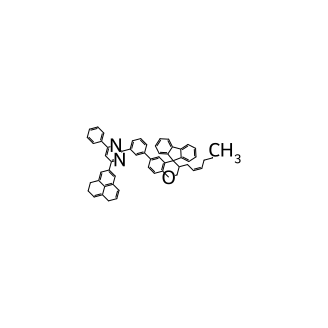 CCC/C=C\CC1COc2ccc(-c3cccc(-c4nc(-c5ccccc5)cc(-c5cc6c7c(c5)CCC=C7CC=C6)n4)c3)cc2C12c1ccccc1-c1ccccc12